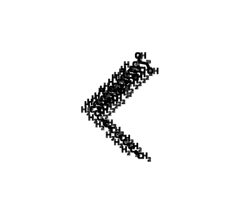 C=C.C=C.C=C.C=C.C=C.C=C.C=C.C=C.C=C.C=C.C=C.C=C.C=C.C=C.C=C.C=C.C=C.C=C.C=C.OCCO